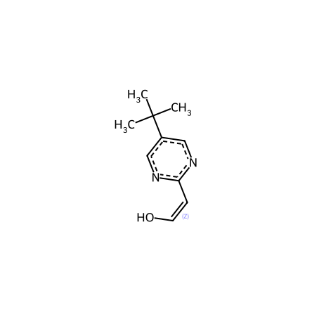 CC(C)(C)c1cnc(/C=C\O)nc1